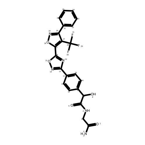 NC(=O)CNC(=O)C(O)c1ccc(-c2noc(-c3onc(-c4ccccc4)c3C(F)(F)F)n2)cc1